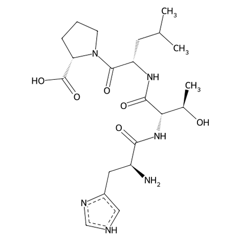 CC(C)C[C@H](NC(=O)[C@@H](NC(=O)[C@@H](N)Cc1c[nH]cn1)[C@@H](C)O)C(=O)N1CCC[C@H]1C(=O)O